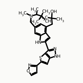 CC(N(C)Cc1cc(CC(C)(C)O)c2cc(-c3n[nH]c4cc(-c5ccon5)sc34)[nH]c2c1)C(C)(C)C